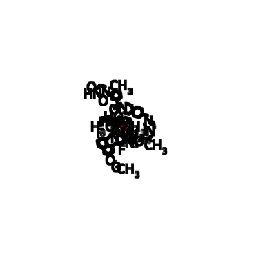 COCOc1cc(-c2ncc3c(N4CCC[C@@](C)(O)C4)nc(OC[C@H](C)CN4CCN(CC5CCC6(CC5)CCN(C(=O)c5ccc(C)c(N7CCC(=O)NC7=O)c5)CC6)CC4)nc3c2F)c2c(C#C[Si](C(C)C)(C(C)C)C(C)C)c(F)ccc2c1